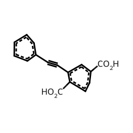 O=C(O)c1ccc(C(=O)O)c(C#Cc2ccccc2)c1